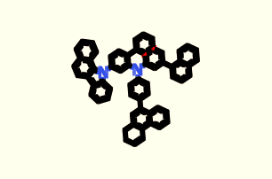 C1=Cc2c(cc(-c3ccc(N(c4cccc(-c5cccc6ccccc56)c4)c4cc(-n5c6ccccc6c6ccc7ccccc7c65)ccc4-c4ccccc4)cc3)c3ccccc23)CC1